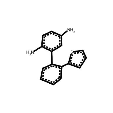 Nc1ccc(N)c(-c2ccccc2-c2cccs2)c1